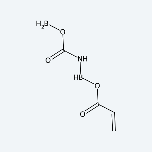 BOC(=O)NBOC(=O)C=C